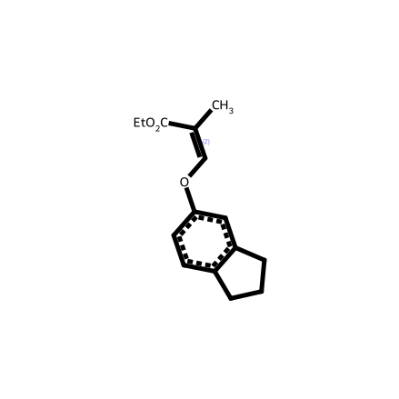 CCOC(=O)/C(C)=C\Oc1ccc2c(c1)CCC2